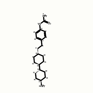 CCCC(=O)Oc1ccc(CC[C@H]2CC[C@H]([C@H]3CC[C@H](CCC)CC3)CC2)cc1